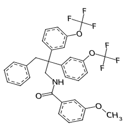 COc1cccc(C(=O)NCC(Cc2ccccc2)(c2cccc(OC(F)(F)F)c2)c2cccc(OC(F)(F)F)c2)c1